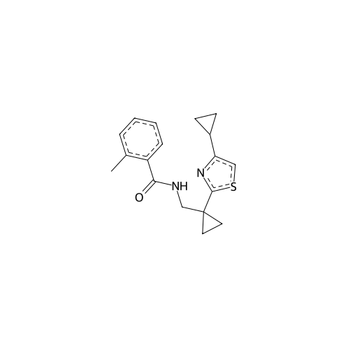 Cc1ccccc1C(=O)NCC1(c2nc(C3CC3)cs2)CC1